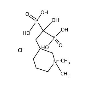 C[N+]1(C)CCCC(CC(O)(P(=O)(O)O)P(=O)(O)O)C1.[Cl-]